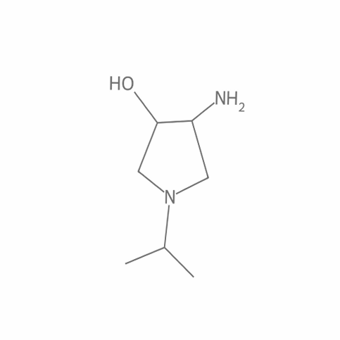 CC(C)N1CC(N)C(O)C1